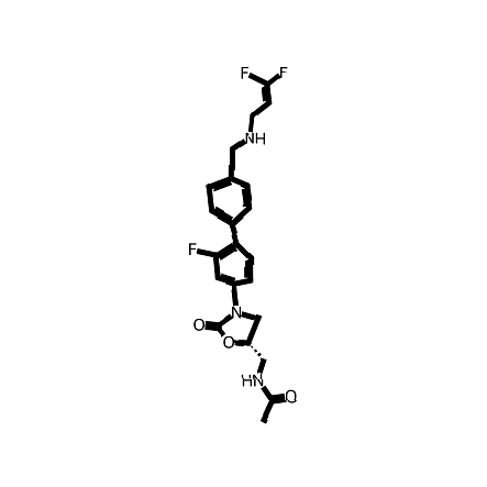 CC(=O)NC[C@H]1CN(c2ccc(-c3ccc(CNCC=C(F)F)cc3)c(F)c2)C(=O)O1